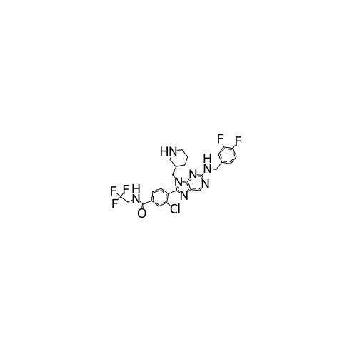 O=C(NCC(F)(F)F)c1ccc(-c2nc3cnc(NCc4ccc(F)c(F)c4)nc3n2C[C@@H]2CCCNC2)c(Cl)c1